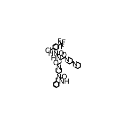 O=C(Nc1cc(C(F)(F)F)ccc1Cl)N[C@@H](CC(=O)N1CCC(N2Cc3ccccc3NC2=O)CC1)C(=O)N1CCC(N2CCCCC2)CC1